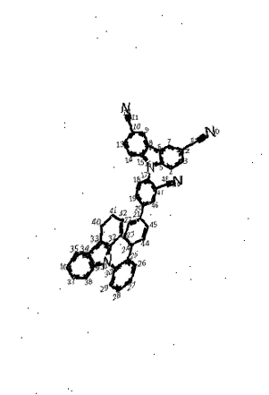 N#Cc1ccc2c(c1)c1cc(C#N)ccc1n2-c1ccc(C2=CCC(c3ccccc3-n3c4c(c5ccccc53)CCC=C4)C=C2)cc1C#N